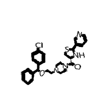 O=C([C@@H]1CSC(c2cccnc2)N1)N1CCN(CCOC(c2ccccc2)c2ccc(Cl)cc2)CC1